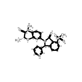 C[C@H]1Oc2nc(N3C(=O)c4c(cccc4S(C)(=O)=O)C3c3cccnc3)ccc2N(C)C1=O